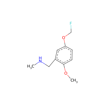 CNCc1cc(OCF)ccc1OC